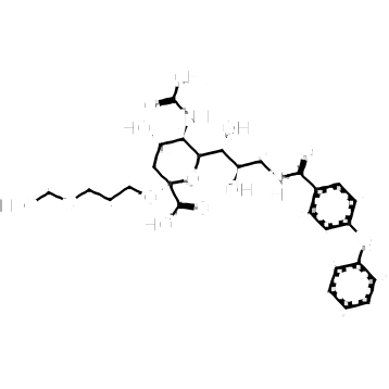 CCSCCCO[C@]1(C(=O)O)C[C@H](O)[C@@H](NC(C)=O)C([C@H](O)[C@H](O)CNC(=O)c2ccc(Oc3ccccc3)cc2)O1